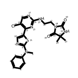 CN(c1ccccc1)c1ncc(-c2nc(NCCN3C(=O)NC(C)(C)C3=O)ncc2Cl)s1